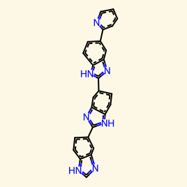 c1ccc(-c2ccc3[nH]c(-c4ccc5[nH]c(-c6ccc7[nH]cnc7c6)nc5c4)nc3c2)nc1